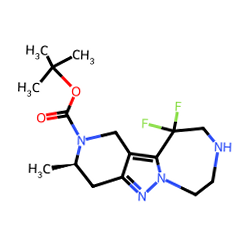 C[C@@H]1Cc2nn3c(c2CN1C(=O)OC(C)(C)C)C(F)(F)CNCC3